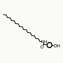 CCCCCCCCCCCCCCCCCCCNC(=O)c1ccc(O)cc1